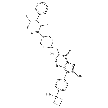 Cn1nc2c(=O)n(CC3(O)CCN(C(=O)C(F)C(c4ccccc4)C(F)F)CC3)cnc2c1-c1ccc(C2(N)CCC2)cc1